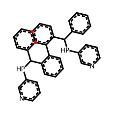 c1ccc(C(Pc2cccnc2)c2ccccc2-c2ccccc2C(Pc2cccnc2)c2ccccc2)cc1